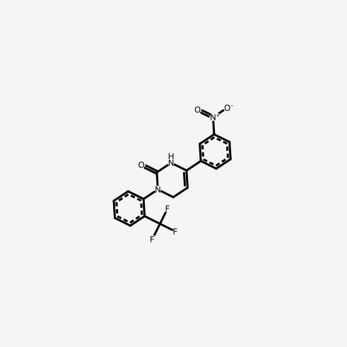 O=C1NC(c2cccc([N+](=O)[O-])c2)=CCN1c1ccccc1C(F)(F)F